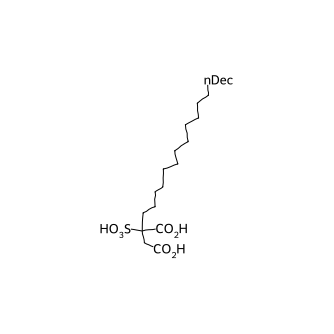 CCCCCCCCCCCCCCCCCCCCCCC(CC(=O)O)(C(=O)O)S(=O)(=O)O